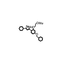 COCCOc1cc(OCc2ccccc2)ccc1-c1cc(-c2ccccc2)n[nH]1